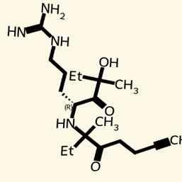 C#CCCC(=O)C(C)(CC)N[C@H](CCCNC(=N)N)C(=O)C(C)(O)CC